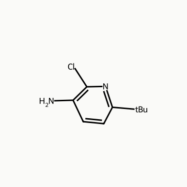 CC(C)(C)c1ccc(N)c(Cl)n1